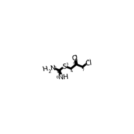 N=C(N)SCC(=O)CCl